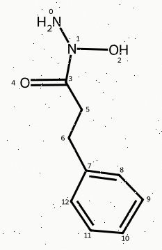 NN(O)C(=O)CCc1ccccc1